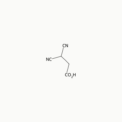 N#CC(C#N)CC(=O)O